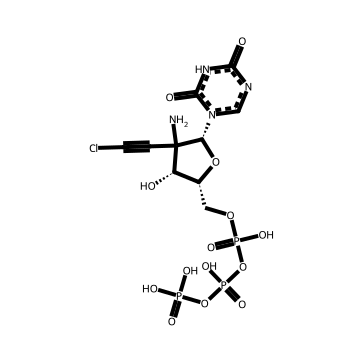 NC1(C#CCl)[C@@H](O)[C@@H](COP(=O)(O)OP(=O)(O)OP(=O)(O)O)O[C@H]1n1cnc(=O)[nH]c1=O